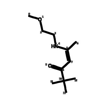 COCCN/C(C)=C\C(=O)C(C)(C)C